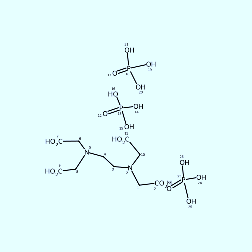 O=C(O)CN(CCN(CC(=O)O)CC(=O)O)CC(=O)O.O=P(O)(O)O.O=P(O)(O)O.O=P(O)(O)O